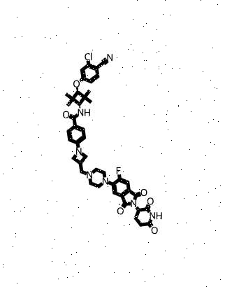 CC1(C)[C@H](NC(=O)c2ccc(N3CC(CN4CCN(c5cc6c(cc5F)C(=O)N(C5CCC(=O)NC5=O)C6=O)CC4)C3)cc2)C(C)(C)[C@H]1Oc1ccc(C#N)c(Cl)c1